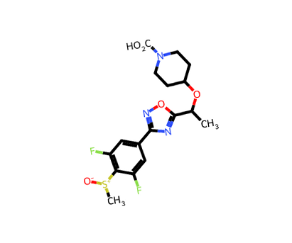 CC(OC1CCN(C(=O)O)CC1)c1nc(-c2cc(F)c([S+](C)[O-])c(F)c2)no1